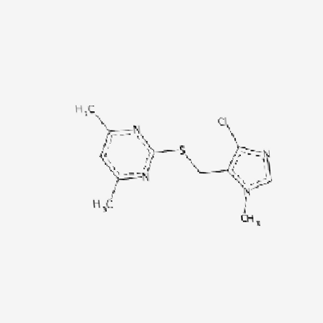 Cc1cc(C)nc(SCc2c(Cl)ncn2C)n1